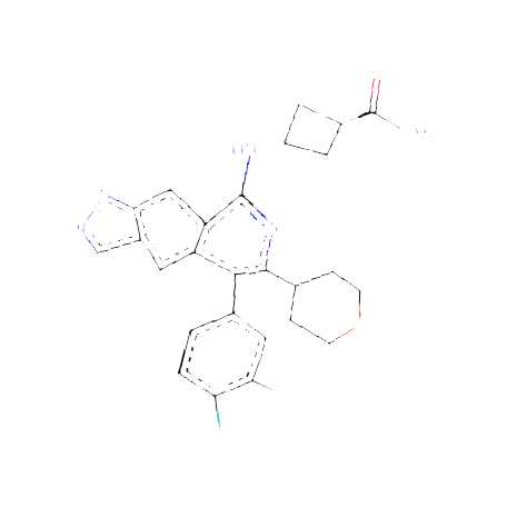 COC(=O)[C@H]1C[C@H](Nc2nc(C3CCOCC3)c(-c3ccc(F)c(F)c3)c3cc4cn[nH]c4cc23)C1